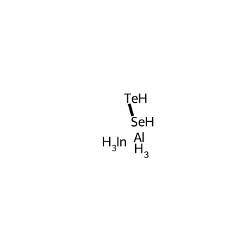 [AlH3].[InH3].[SeH][TeH]